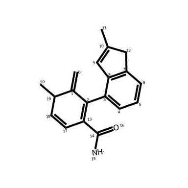 C=C1C(c2cccc3c2C=C(C)C3)=C(C([NH])=O)C=CC1C